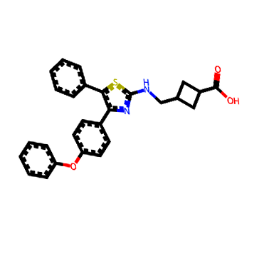 O=C(O)C1CC(CNc2nc(-c3ccc(Oc4ccccc4)cc3)c(-c3ccccc3)s2)C1